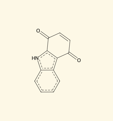 O=C1C=CC(=O)c2c1[nH]c1ccccc21